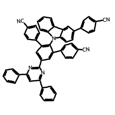 N#Cc1ccc(-c2ccc3c(c2)c2ccccc2n3-c2c(-c3ccc(C#N)cc3)cc(-c3nc(-c4ccccc4)cc(-c4ccccc4)n3)cc2-c2ccc(C#N)cc2)cc1